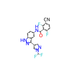 N#Cc1ccc(F)c(C(=O)Nc2ccc3[nH]nc(-c4cnn(C(F)F)c4)c3c2)c1F